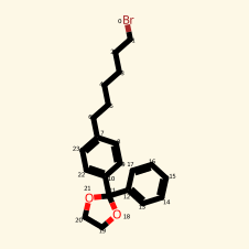 BrCCCCCCc1ccc(C2(c3ccccc3)OCCO2)cc1